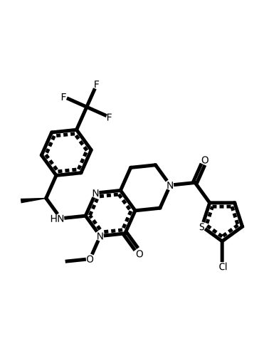 COn1c(N[C@@H](C)c2ccc(C(F)(F)F)cc2)nc2c(c1=O)CN(C(=O)c1ccc(Cl)s1)CC2